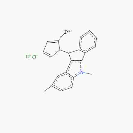 Cc1ccc2c(c1)c1c(n2C)-c2ccccc2C1C1C=CC=[C]1[Zr+2].[Cl-].[Cl-]